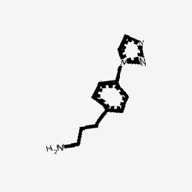 NCCCc1ccc(-n2ccnn2)cc1